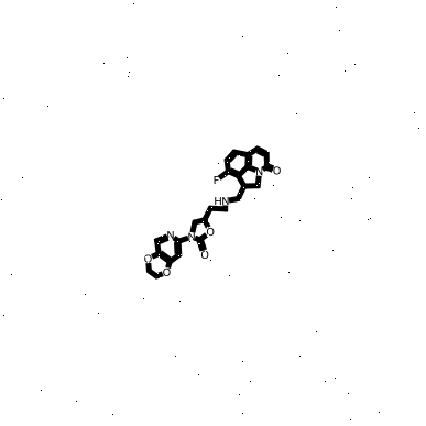 O=C1OC(CCNCC2Cn3c(=O)ccc4ccc(F)c2c43)CN1c1cc2c(cn1)OCCO2